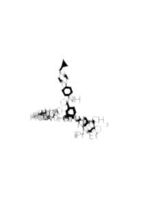 CC[C@@H]1C(=O)N(C)c2cnc(Nc3ccc(C(=O)N[C@H]4CC[C@H](N5CCN(CC6CC6)CC5)CC4)cc3OC)nc2N1C(C)C.Cl.Cl.Cl.O.O.O